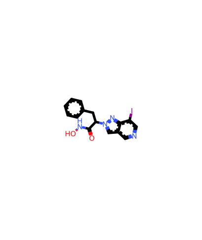 O=C(NO)C(Cc1ccccc1)n1cc2cncc(I)c2n1